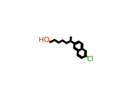 CC(CCCCCO)c1ccc2cc(Cl)ccc2c1